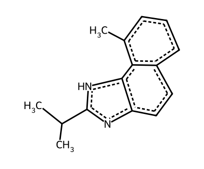 Cc1cccc2ccc3nc(C(C)C)[nH]c3c12